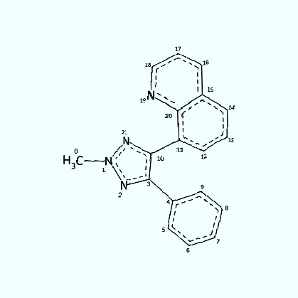 Cn1nc(-c2ccccc2)c(-c2cccc3cccnc23)n1